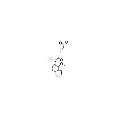 COC(=O)CCCCC(=O)N(O)c1ccc2ccccc2c1OC